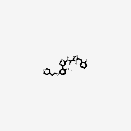 Cc1ccc(OCCC2CCOCC2)cc1-c1cc(NC(=O)c2nnc(Cc3ccccc3F)[nH]2)ncn1